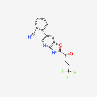 N#Cc1ccccc1-c1cnc2nc(C(=O)CCC(F)(F)F)oc2c1